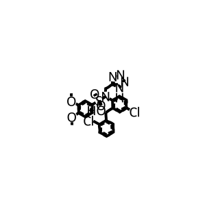 COc1ccc(S(=O)(=O)N(Cc2nnn[nH]2)c2ccc(Cl)cc2C(O)c2ccccc2Cl)cc1OC